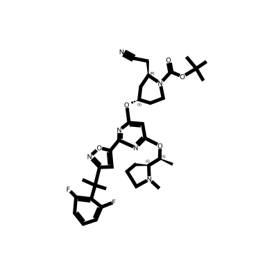 C[C@H](Oc1cc(O[C@H]2CCN(C(=O)OC(C)(C)C)[C@H](CC#N)C2)nc(-c2cc(C(C)(C)c3c(F)cccc3F)no2)n1)[C@@H]1CCCN1C